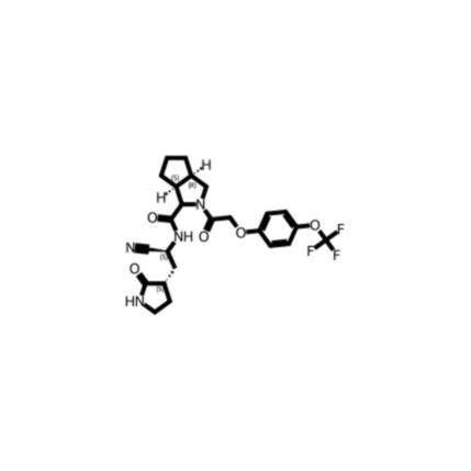 N#C[C@H](C[C@@H]1CCNC1=O)NC(=O)C1[C@H]2CCC[C@H]2CN1C(=O)COc1ccc(OC(F)(F)F)cc1